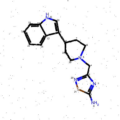 Nc1nc(CN2CCC(c3c[nH]c4ccccc34)CC2)ns1